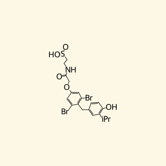 CC(C)c1cc(Cc2c(Br)cc(OCC(=O)NCCS(=O)O)cc2Br)ccc1O